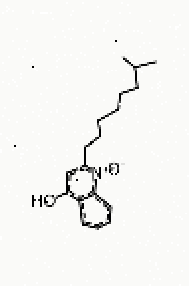 CC(C)CCCCCCc1cc(O)c2ccccc2[n+]1[O-]